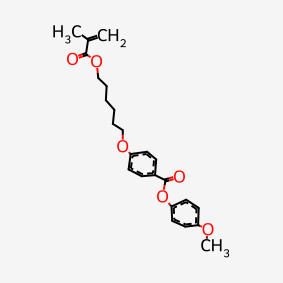 C=C(C)C(=O)OCCCCCCOc1ccc(C(=O)Oc2ccc(OC)cc2)cc1